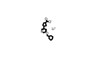 O=C([O-])C1CCC(c2cncc(OCC3CCCCC3)c2)C1.[Li+]